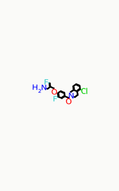 NC/C(=C\F)COc1ccc(C(=O)N2CCc3c(Cl)cccc3C2)cc1F